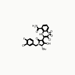 CC(C)(C)[C@H]1C(O)=C(C2=C(Cl)S(=O)(=O)c3c[c]cc(C(N)=O)c3N2)C(=O)N1Cc1ccc(F)c(Cl)c1